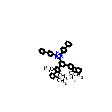 Cc1cc(-c2cc(-c3ccc4c(c3)C(C)(C)C3C=CC=CC43)cc(-c3nc(-c4ccc(C5=CC=CCC5)cc4)nc(-c4ccc(-c5ccccc5)cc4)n3)c2)ccc1C1=C(C(C)C)CCC=C1